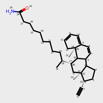 C#C[C@H]1CCC2C3C=CC4=CC=CC[C@]4(C)C3[C@@H](C(C)CCCCCCCCC(N)=O)C[C@@]21C